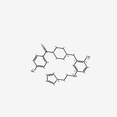 N#Cc1ccc(C(=O)N2CCN(Cc3cc(NCCn4cccc4)ccc3C#N)CC2)cc1